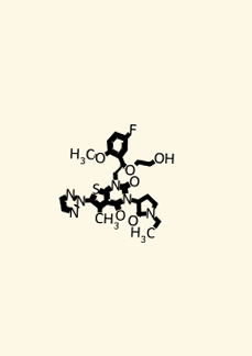 CCN1CCC(n2c(=O)c3c(C)c(-n4nccn4)sc3n(C[C@H](OCCO)c3cc(F)ccc3OC)c2=O)C1=O